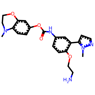 CN1CCOc2cc(OC(=O)Nc3ccc(OCCN)c(-c4ccnn4C)c3)ccc21